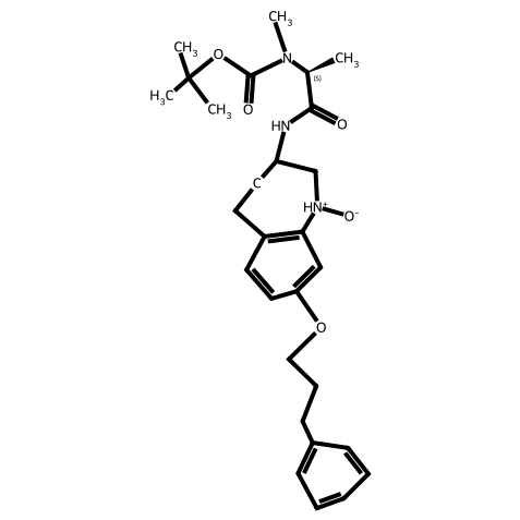 C[C@@H](C(=O)NC1CCc2ccc(OCCCc3ccccc3)cc2[NH+]([O-])C1)N(C)C(=O)OC(C)(C)C